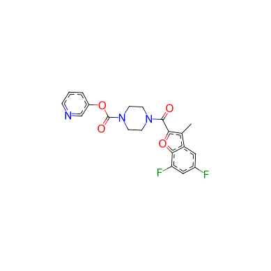 Cc1c(C(=O)N2CCN(C(=O)Oc3cccnc3)CC2)oc2c(F)cc(F)cc12